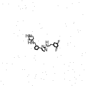 C[C@@H]1CNCC[C@H]1NCc1cccc(-c2ccnc(NCCc3cc(F)cc(F)c3)n2)c1